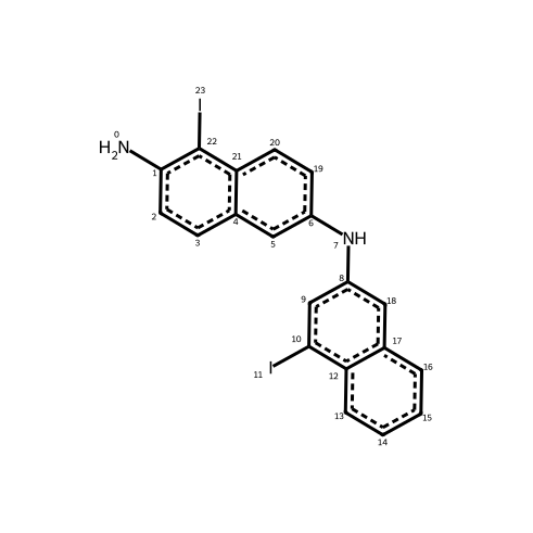 Nc1ccc2cc(Nc3cc(I)c4ccccc4c3)ccc2c1I